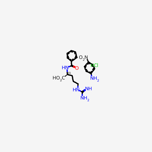 Cl.N=C(N)NCCC[C@H](NC(=O)c1ccccc1)C(=O)O.Nc1ccc([N+](=O)[O-])cc1